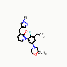 CCn1cc(Cc2cccn(-c3cc(N4CCO[C@H](C)C4)cc(CC(F)(F)F)c3F)c2=O)cn1